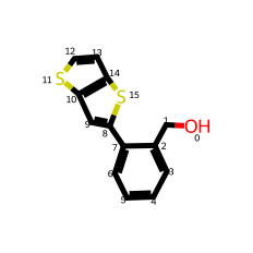 OCc1ccccc1-c1cc2sccc2s1